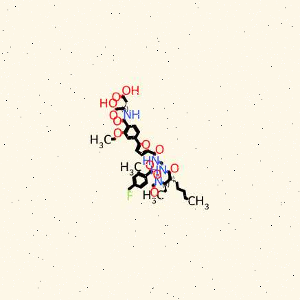 CCCCC[C@@H](C(=O)NCNC(=O)c1ccc(-c2ccc(C(=O)N[C@@H](CC(=O)O)C(=O)O)c(OCC)c2)o1)[C@@H](CC)N(C=O)OC(=O)c1ccc(CF)cc1C